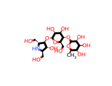 C[C@H]1OC(O[C@H]2[C@H](O)[C@@H](O)[C@@H](O[C@H]3[C@H](O)[C@@H](CO)N[C@@H]3CO)O[C@@H]2CO)[C@H](O)[C@@H](O)[C@@H]1O